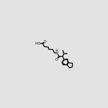 CC(C)C(C(=O)NCCCCCC(=O)O)c1ccc2c(c1)CCC2